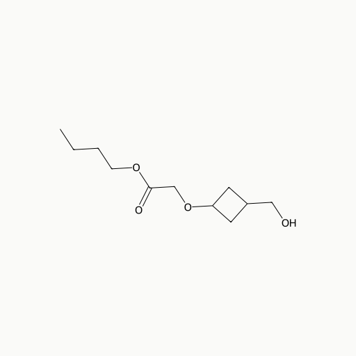 CCCCOC(=O)COC1CC(CO)C1